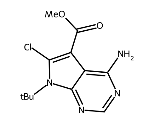 COC(=O)c1c(Cl)n(C(C)(C)C)c2ncnc(N)c12